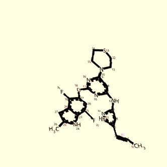 C/C=C/c1cc(Nc2cc(N3CCSCC3)nc(Oc3cc(F)c4[nH]c(C)cc4c3F)n2)n[nH]1